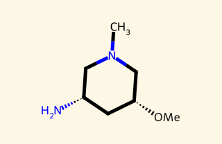 CO[C@@H]1C[C@H](N)CN(C)C1